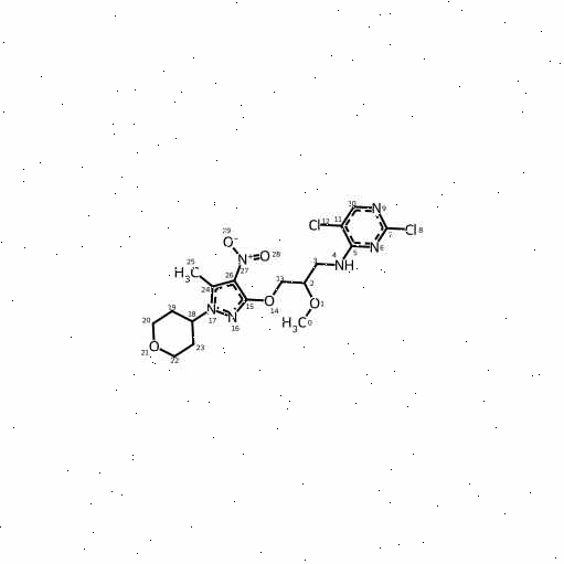 COC(CNc1nc(Cl)ncc1Cl)COc1nn(C2CCOCC2)c(C)c1[N+](=O)[O-]